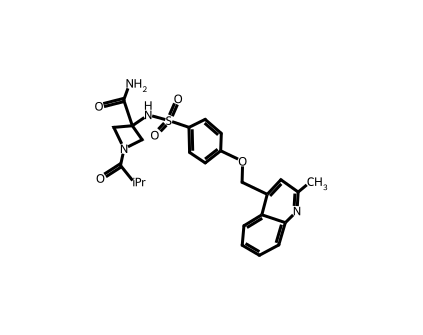 Cc1cc(COc2ccc(S(=O)(=O)NC3(C(N)=O)CN(C(=O)C(C)C)C3)cc2)c2ccccc2n1